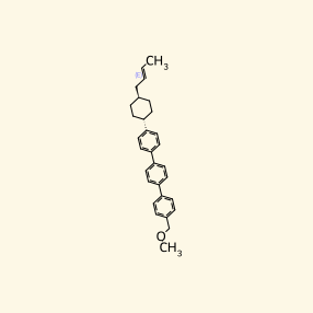 C/C=C/C[C@H]1CC[C@H](c2ccc(-c3ccc(-c4ccc(COC)cc4)cc3)cc2)CC1